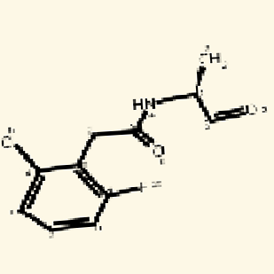 C[C@@H]([C]=O)NC(=O)Cc1c(F)cccc1Cl